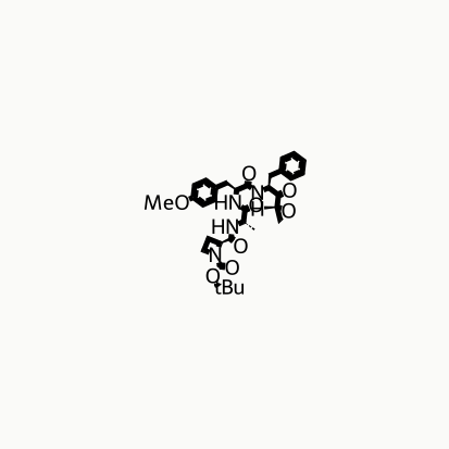 COc1ccc(C[C@H](NC(=O)[C@H](C)NC(=O)[C@@H]2CCN2C(=O)OC(C)(C)C)C(=O)N[C@@H](Cc2ccccc2)C(=O)[C@@]2(C)CO2)cc1